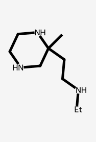 CCNCCC1(C)CNCCN1